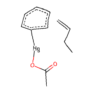 C=CCC.CC(=O)[O][Hg][c]1ccccc1